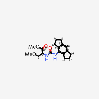 COCC(NC(=O)Nc1c2c(cc3c1CCC3)CCC2)C(=O)OC